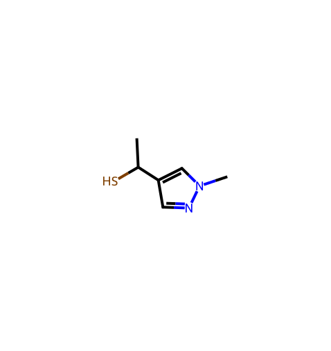 CC(S)c1cnn(C)c1